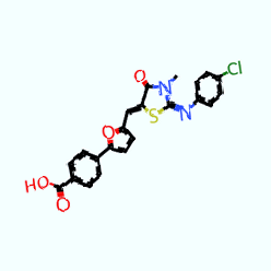 CN1C(=O)/C(=C/c2ccc(-c3ccc(C(=O)O)cc3)o2)S/C1=N/c1ccc(Cl)cc1